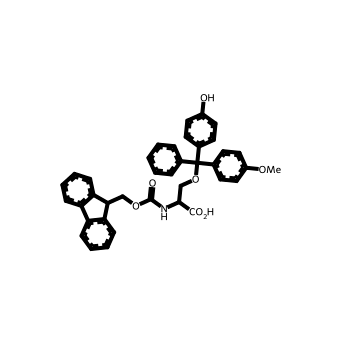 COc1ccc(C(OCC(NC(=O)OCC2c3ccccc3-c3ccccc32)C(=O)O)(c2ccccc2)c2ccc(O)cc2)cc1